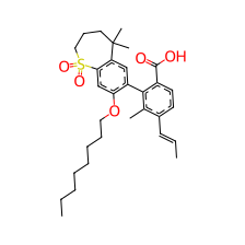 CC=Cc1ccc(C(=O)O)c(-c2cc3c(cc2OCCCCCCCC)S(=O)(=O)CCCC3(C)C)c1C